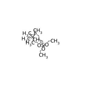 CCO[Si](CCCP(C)[Si](C)(C)C)(OCC)OCC